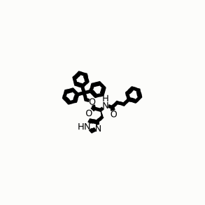 O=C(CCc1ccccc1)N[C@@H](Cc1c[nH]cn1)C(=O)OCC(c1ccccc1)(c1ccccc1)c1ccccc1